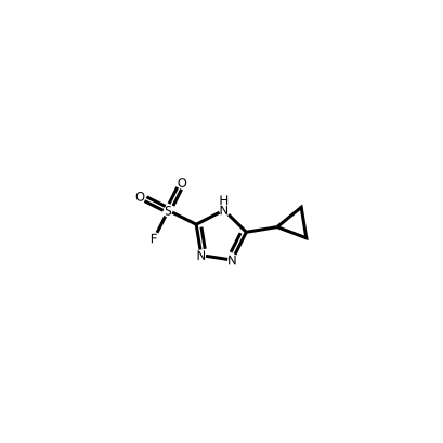 O=S(=O)(F)c1nnc(C2CC2)[nH]1